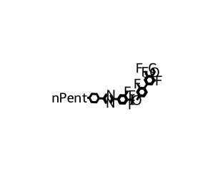 CCCCCC1CCC(c2cnc(-c3ccc(C(F)(F)Oc4ccc(-c5cc(F)c(OC(F)(F)F)c(F)c5)c(F)c4)c(F)c3)nc2)CC1